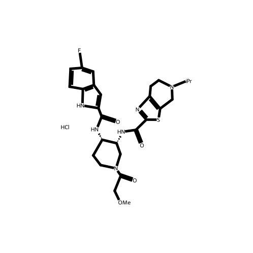 COCC(=O)N1CC[C@H](NC(=O)c2cc3cc(F)ccc3[nH]2)[C@H](NC(=O)c2nc3c(s2)CN(C(C)C)CC3)C1.Cl